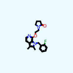 Cc1c(C)n(Cc2ccccc2F)c2c(OCCN3CCCC3=O)nccc12